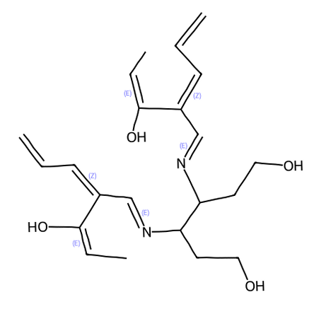 C=C/C=C(/C=N/C(CCO)C(CCO)/N=C/C(=C/C=C)C(/O)=C\C)C(\O)=C/C